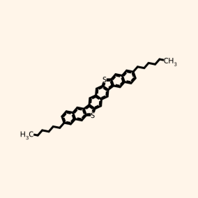 CCCCCCc1ccc2cc3c(cc2c1)sc1cc2cc4c(cc2cc13)sc1cc2cc(CCCCCC)ccc2cc14